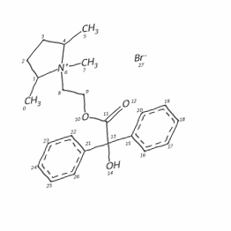 CC1CCC(C)[N+]1(C)CCOC(=O)C(O)(c1ccccc1)c1ccccc1.[Br-]